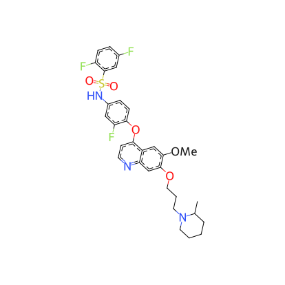 COc1cc2c(Oc3ccc(NS(=O)(=O)c4cc(F)ccc4F)cc3F)ccnc2cc1OCCCN1CCCCC1C